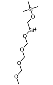 COCOCOCO[SiH]CO[Si](C)(C)C